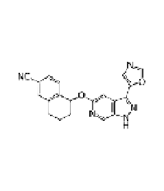 N#Cc1ccc2c(c1)CCC[C@@H]2Oc1cc2c(-c3cnco3)n[nH]c2cn1